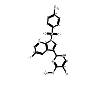 CSC1=NC(c2cn(S(=O)(=O)c3ccc(C)cc3)c3ncc(F)cc23)NC=C1F